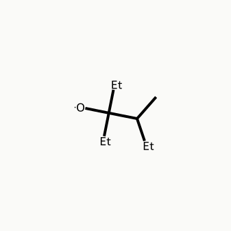 CCC(C)C([O])(CC)CC